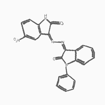 O=C1Nc2ccc([N+](=O)[O-])cc2/C1=N/N=C1\C(=O)N(c2ccccc2)c2ccccc21